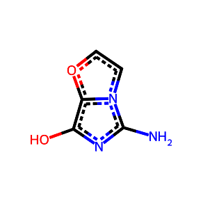 Nc1nc(O)c2occn12